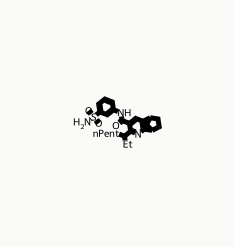 CCCCCC(CC)c1nc2c(cc1C(=O)Nc1cccc(S(N)(=O)=O)c1)C1CCC2C1